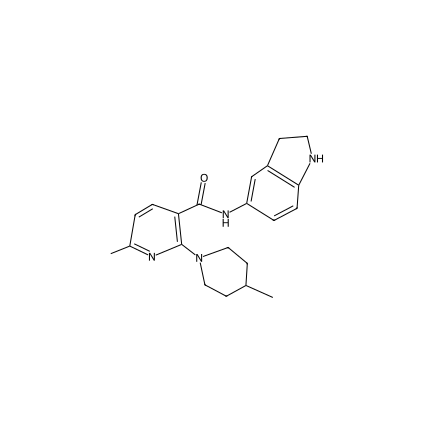 Cc1ccc(C(=O)Nc2ccc3c(c2)CCN3)c(N2CCC(C)CC2)n1